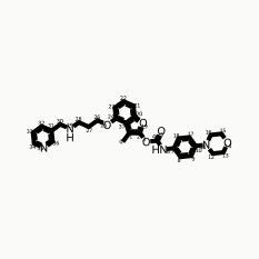 Cc1c(OC(=O)Nc2ccc(N3CCOCC3)cc2)oc2cccc(OCCCNCc3cccnc3)c12